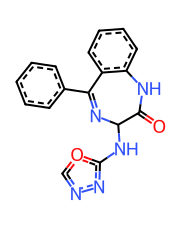 O=C1Nc2ccccc2C(c2ccccc2)=NC1Nc1nnco1